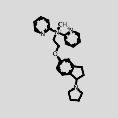 C[N+](CCOc1ccc2c(c1)CCC2N1CCCC1)(c1ccccn1)c1ccccn1